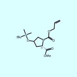 C=CCOC(=O)N1CC(O[Si](C)(C)C(C)(C)C)C[C@H]1C(=O)OC